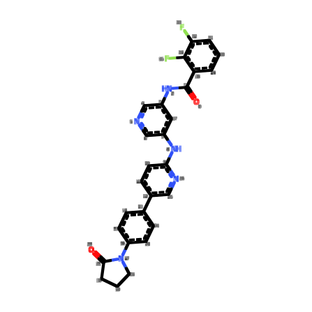 O=C(Nc1cncc(Nc2ccc(-c3ccc(N4CCCC4=O)cc3)cn2)c1)c1cccc(F)c1F